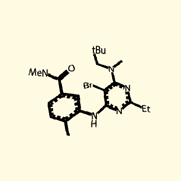 CCc1nc(Nc2cc(C(=O)NC)ccc2C)c(Br)c(N(C)CC(C)(C)C)n1